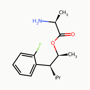 CC(C)[C@@H](c1ccccc1F)[C@H](C)OC(=O)[C@H](C)N